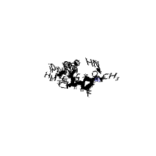 C/N=C(\OC=N)c1cc(F)cc(-c2cc(Cl)c([C@](C)(C[SH](=O)=O)NC(N)C(C)C)s2)c1